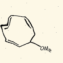 COC1C=CC=CC=C1